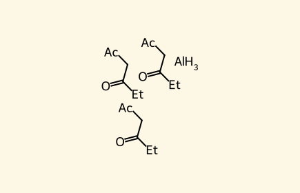 CCC(=O)CC(C)=O.CCC(=O)CC(C)=O.CCC(=O)CC(C)=O.[AlH3]